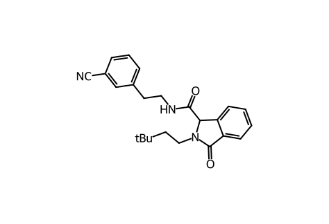 CC(C)(C)CCN1C(=O)c2ccccc2C1C(=O)NCCc1cccc(C#N)c1